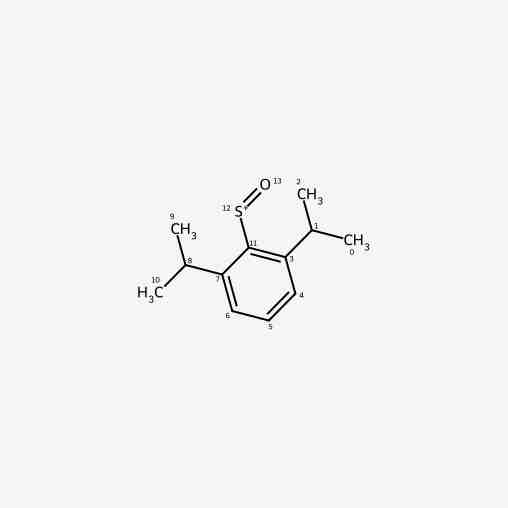 CC(C)c1cccc(C(C)C)c1[S+]=O